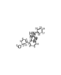 COc1cccc(-c2cccn3nc(Nc4ccccc4)nc23)c1